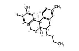 CCCCN1Cc2cc(C)ccc2[C@@H]2c3cc(O)c(I)cc3CC[C@H]21